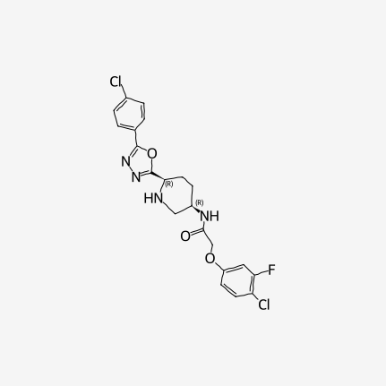 O=C(COc1ccc(Cl)c(F)c1)N[C@@H]1CC[C@H](c2nnc(-c3ccc(Cl)cc3)o2)NC1